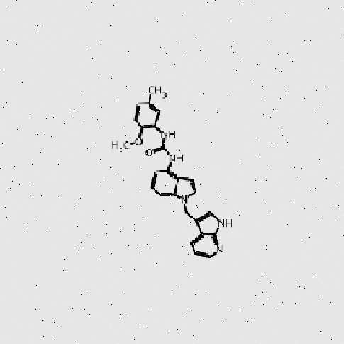 COc1ccc(C)cc1NC(=O)Nc1cccc2c1ccn2Cc1c[nH]c2ncccc12